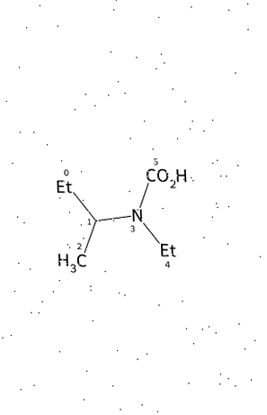 CCC(C)N(CC)C(=O)O